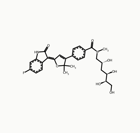 CN(C[C@H](O)C[C@@H](O)[C@H](O)CO)C(=O)c1ccc(C2=C/C(=C3\C(=O)Nc4cc(F)ccc43)OC2(C)C)cc1